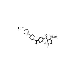 COc1ccc(F)cc1C(=O)c1cnc(Nc2ccc(N3CCN(C)CC3)cc2)nc1N